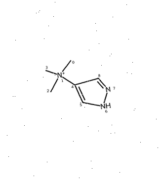 C[N+](C)(C)c1[c][nH]nc1